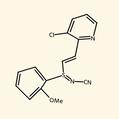 COc1ccccc1S(/C=C/c1ncccc1Cl)=NC#N